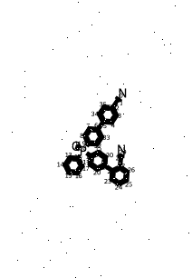 N#Cc1ccc(-c2ccc(P(=O)(c3ccccc3)c3ccc(-c4ccccc4C#N)cc3)cc2)cc1